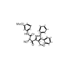 COc1cccc(NC(=O)C(C#N)C(=O)c2nn(-c3ccccc3)c3c2COc2ccccc2-3)c1